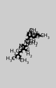 C=CC(=C\C=C(/C)C(CCC)CCC)/C(/C=N\C)=C/N(C)/N=C\C(C)C(/C=C\N(C)C)=C(C)\C=C/C=C\CC